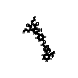 CCCn1c(=O)c2[nH]c(-c3ccc(OCc4noc(-c5ccccc5C(F)(F)F)n4)cc3)nc2n(CCC)c1=O